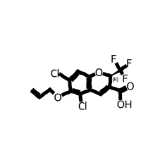 C=CCOc1c(Cl)cc2c(c1Cl)C=C(C(=O)O)[C@H](C(F)(F)F)O2